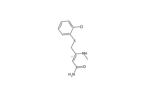 CN/C(=C\C(N)=O)CSc1ccccc1Cl